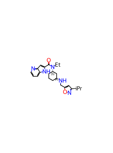 CCN(C(=O)c1cc2ncccc2[nH]1)[C@H]1CCC[C@@H](NCc2cc(C(C)C)no2)C1